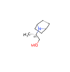 C[C@@H](CO)N1C2CCC1CC2